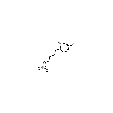 CC1C=C(Cl)OCC1CCCCO[N+](=O)[O-]